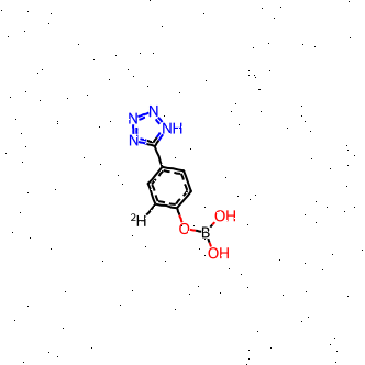 [2H]c1cc(-c2nnn[nH]2)ccc1OB(O)O